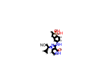 CC1Cc2cc(Nc3nn(C(CC#N)C4CC4)c4cc[nH]c(=O)c34)ccc2S1(O)O